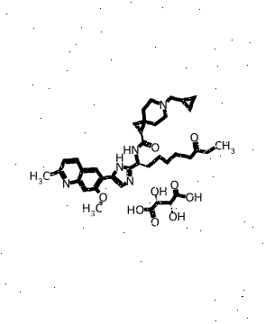 CCC(=O)CCCCC[C@H](NC(=O)[C@H]1CC12CCN(CC1CC1)CC2)c1ncc(-c2cc3ccc(C)nc3cc2OC)[nH]1.O=C(O)[C@H](O)[C@@H](O)C(=O)O